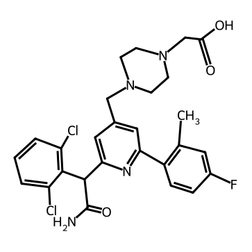 Cc1cc(F)ccc1-c1cc(CN2CCN(CC(=O)O)CC2)cc(C(C(N)=O)c2c(Cl)cccc2Cl)n1